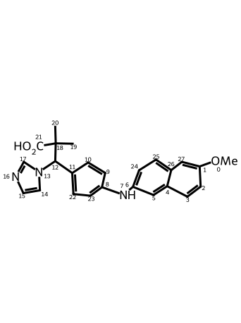 COc1ccc2cc(Nc3ccc(C(n4ccnc4)C(C)(C)C(=O)O)cc3)ccc2c1